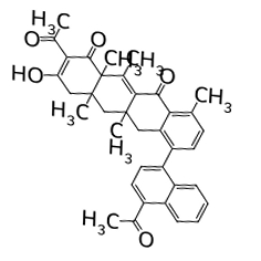 CC(=O)C1=C(O)CC2(C)CC3(C)Cc4c(-c5ccc(C(C)=O)c6ccccc56)ccc(C)c4C(=O)C3=C(C)C2(C)C1=O